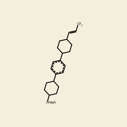 CCCCCCCC1CCC(c2ccc(C3CCC(C=CC(F)(F)F)CC3)cc2)CC1